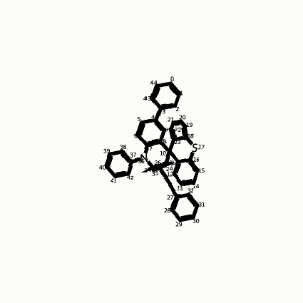 c1ccc(-c2ccc3c(c2)C2(c4ccccc4Sc4ccccc42)c2cc(-c4ccccc4)ccc2N3c2ccccc2)cc1